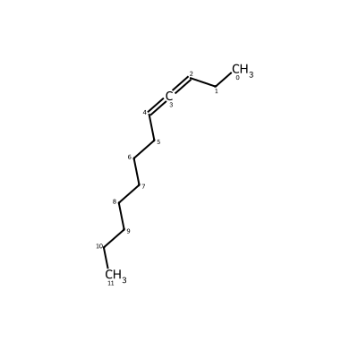 CCC=C=CCCCCCCC